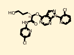 O=C(Nc1ccc(Cl)cn1)[C@H](CCCO)Oc1ncnc2c1cnn2-c1ncccc1Cl